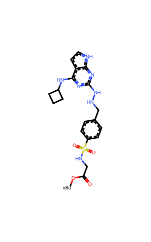 CCCCOC(=O)CNS(=O)(=O)c1ccc(CNNc2nc(NC3CCC3)c3cc[nH]c3n2)cc1